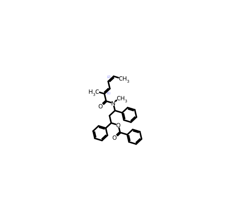 C/C=C\C=C(/C)C(=O)N(C)C(CC(OC(=O)c1ccccc1)c1ccccc1)c1ccccc1